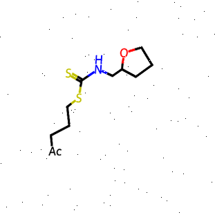 CC(=O)CCCSC(=S)NCC1CCCO1